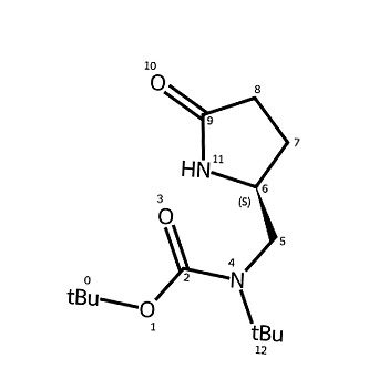 CC(C)(C)OC(=O)N(C[C@@H]1CCC(=O)N1)C(C)(C)C